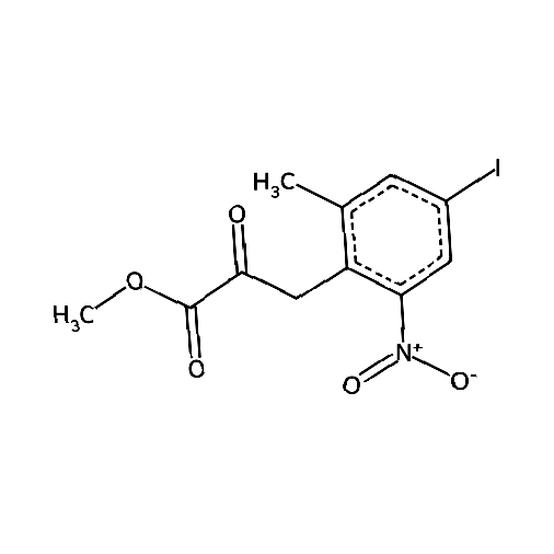 COC(=O)C(=O)Cc1c(C)cc(I)cc1[N+](=O)[O-]